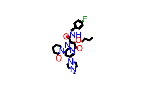 CCCCOc1c(C(=O)NCc2ccc(F)cc2)nc2c(N3CCCCC3=O)cc(N3CCN(C)CC3)cn2c1=O